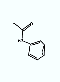 [CH2]C(=O)Nc1ccccc1